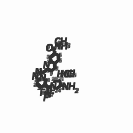 CNC(=O)c1ccc2ccc(-c3nnc4ccc([C@@H](N5CC[C@H](N)C5)C(F)(F)F)cn34)nc2c1.Cl.Cl